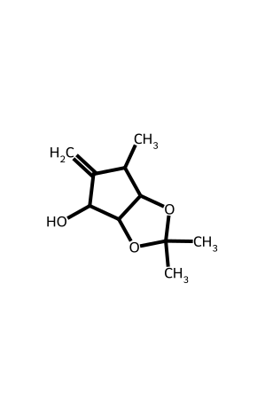 C=C1C(C)C2OC(C)(C)OC2C1O